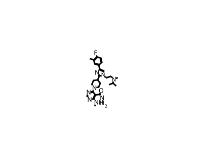 CNc1ncnc(N2CCC(c3nc(-c4ccc(F)c(C)c4)cn3CCN(C)C(C)C)CC2)c1C(N)=O